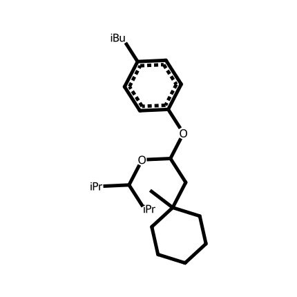 CCC(C)c1ccc(OC(CC2(C)CCCCC2)OC(C(C)C)C(C)C)cc1